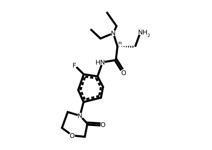 CCN(CC)[C@H](CN)C(=O)Nc1ccc(N2CCOCC2=O)cc1F